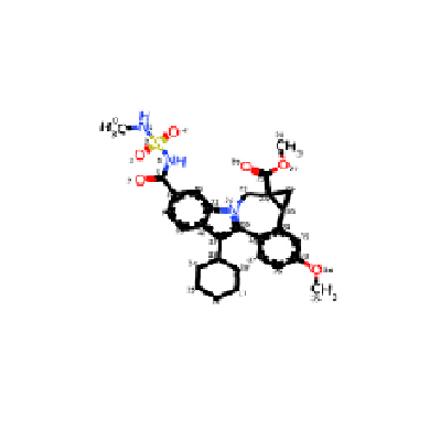 CNS(=O)(=O)NC(=O)c1ccc2c(C3CCCCC3)c3n(c2c1)CC1(C(=O)OC)CC1c1cc(OC)ccc1-3